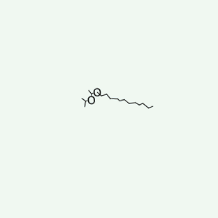 CCCCCCCCCCCCOC(C)OC(C)C